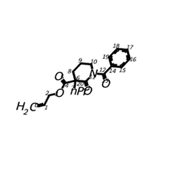 C=CCOC(=O)C1(CCC)CCCN(C(=O)c2ccccc2)C1=O